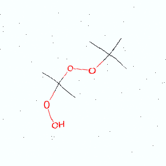 CC(C)(C)OOC(C)(C)OO